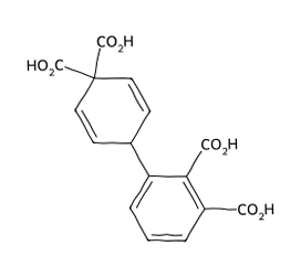 O=C(O)c1cccc(C2C=CC(C(=O)O)(C(=O)O)C=C2)c1C(=O)O